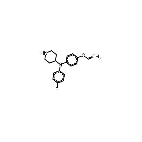 C=COc1ccc(N(c2ccc(F)cc2)C2CCNCC2)cc1